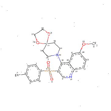 CCc1ccc(S(=O)(=O)c2cnc3ccc(OC(F)(F)F)cc3c2N2CCC3(CC2)OCCO3)cc1